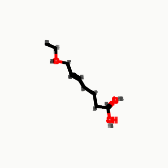 CCOCC=CCCCC(=O)O